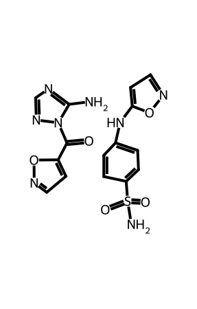 NS(=O)(=O)c1ccc(Nc2ccno2)cc1.Nc1ncnn1C(=O)c1ccno1